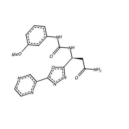 COc1cccc(NC(=O)N[C@@H](CC(N)=O)c2nnc(-c3cnccn3)o2)c1